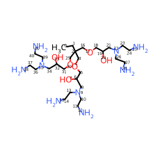 CCC(COCC(O)CN(CCN)CCN)(COCC(O)CN(CCN)CCN)COCC(O)CN(CCN)CCN